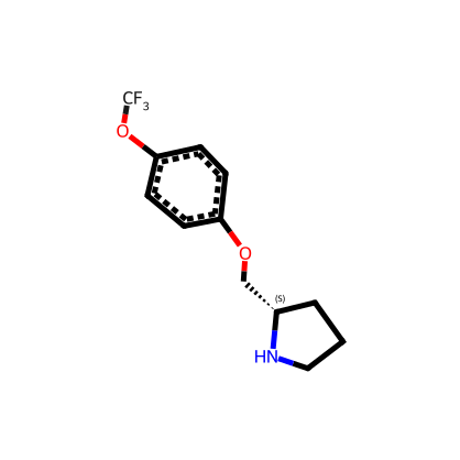 FC(F)(F)Oc1ccc(OC[C@@H]2CCCN2)cc1